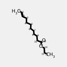 CC=CCCCCCCCCC(=O)OCCC